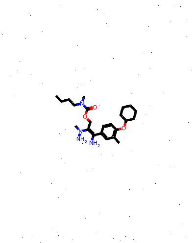 CCCCN(C)C(=O)OC/C(=C(/N)c1ccc(OC2CCCCC2)c(C)c1)N(C)N